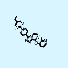 CCc1cnc(N2CCC(c3nnc4c(Oc5cccnc5C)nccn34)CC2)nc1